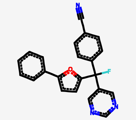 N#Cc1ccc(C(F)(c2cncnc2)c2ccc(-c3ccccc3)o2)cc1